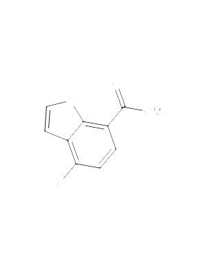 COC(=O)c1ccc(F)c2ccsc12